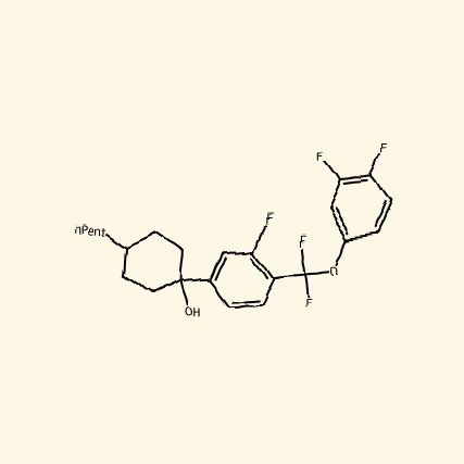 CCCCCC1CCC(O)(c2ccc(C(F)(F)Oc3ccc(F)c(F)c3)c(F)c2)CC1